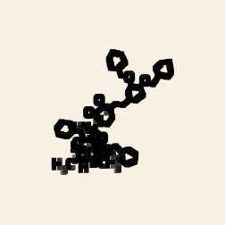 C[C@H]1C(=S)N2[C@@H]1SC(C)(C)[C@]2(NC(=O)C(NC(=O)N1CCN(CCc2ccc(OCc3ccccc3)c(OCc3ccccc3)c2)C(=O)C1=O)c1ccccc1)C(=O)OCc1ccccc1